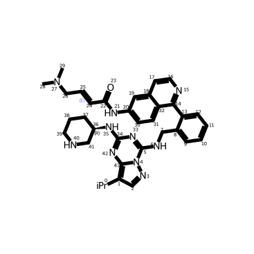 CC(C)c1cnn2c(NCc3ccccc3-c3nccc4cc(NC(=O)/C=C/CN(C)C)ccc34)nc(N[C@@H]3CCCNC3)nc12